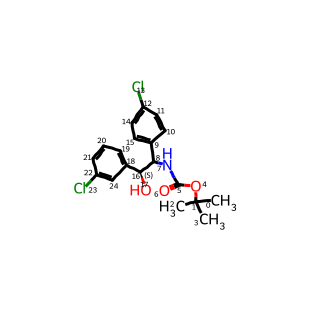 CC(C)(C)OC(=O)NC(c1ccc(Cl)cc1)[C@@H](O)c1cccc(Cl)c1